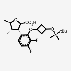 C[C@H]1[C@@H](c2ccc(F)c(F)c2OC2CC(O[Si](C)(C)C(C)(C)C)C2)[C@H](C(=O)O)O[C@@H]1C